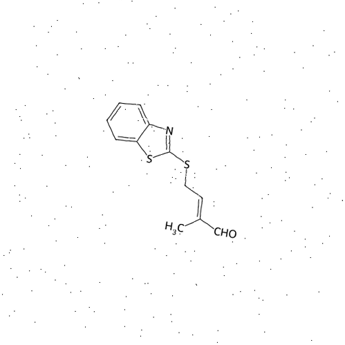 CC(C=O)=CCSc1nc2ccccc2s1